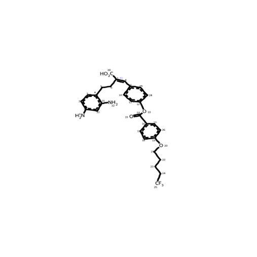 Nc1ccc(CC/C(=C\c2ccc(OC(=O)c3ccc(OCCCCC(F)(F)F)cc3)cc2)C(=O)O)c(N)c1